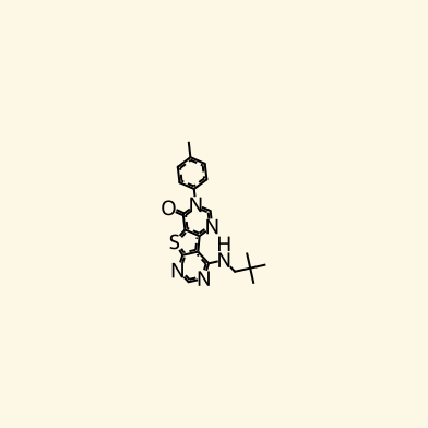 Cc1ccc(-n2cnc3c(sc4ncnc(NCC(C)(C)C)c43)c2=O)cc1